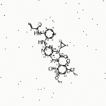 C=CC(=O)Nc1ccccc1Nc1ncc2c(n1)N(C1CC1)C(=O)N(c1c(Cl)c(OC)cc(OC)c1Cl)C2